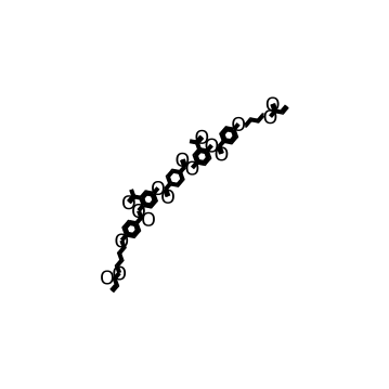 C=CC(=O)OCCCCOc1ccc(C(=O)Oc2ccc(OC(=O)C3CCC(C(=O)Oc4ccc(OC(=O)c5ccc(OCCCCOC(=O)C=C)cc5)c(C(C)=O)c4)CC3)cc2C(C)=O)cc1